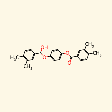 Cc1ccc(C(=O)Oc2ccc(OC(O)c3ccc(C)c(C)c3)cc2)cc1C